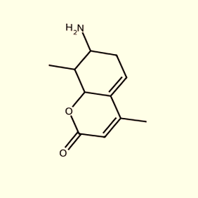 CC1=CC(=O)OC2C1=CCC(N)C2C